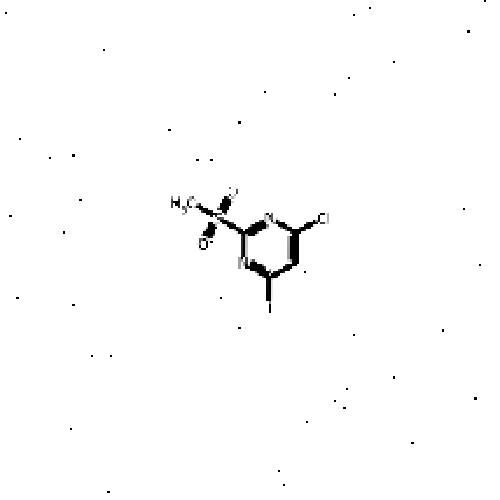 CS(=O)(=O)c1nc(Cl)cc(I)n1